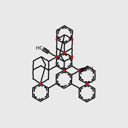 C#Cc1c(-c2ccccc2)cc(-c2ccccc2)cc1C12CC3CC(CC(C3)C1C1C3CC4CC(C3)CC1(c1cc(-c3ccccc3)cc(-c3ccccc3)c1C#C)C4)C2